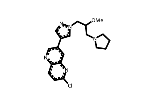 COC(CN1CCCC1)Cn1cc(-c2cnc3ccc(Cl)nc3c2)cn1